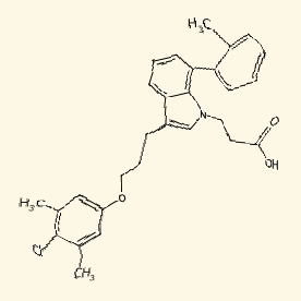 Cc1ccccc1-c1cccc2c(CCCOc3cc(C)c(Cl)c(C)c3)cn(CCC(=O)O)c12